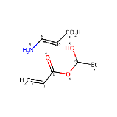 C=CC(=O)OC(O)CC.NC=CC(=O)O